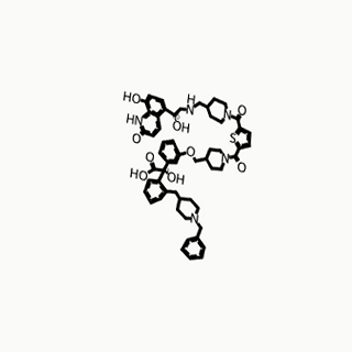 O=C(c1ccc(C(=O)N2CCC(COc3cccc([C@@](O)(C(=O)O)c4ccccc4CC4CCN(Cc5ccccc5)CC4)c3)CC2)s1)N1CCC(CNC[C@H](O)c2ccc(O)c3[nH]c(=O)ccc23)CC1